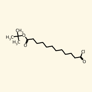 CC(C)(C)OC(=O)CCCCCCCCCCC(=O)Cl